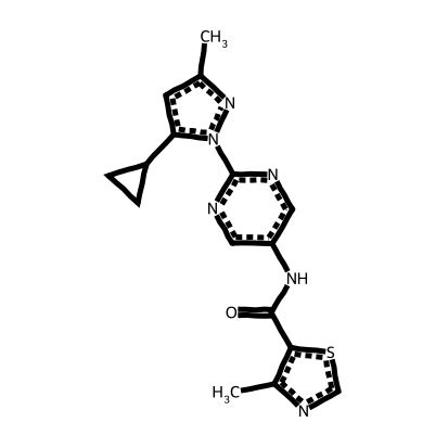 Cc1cc(C2CC2)n(-c2ncc(NC(=O)c3scnc3C)cn2)n1